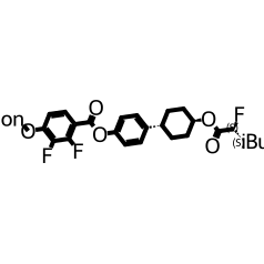 CCCCCCCCCOc1ccc(C(=O)Oc2ccc([C@H]3CC[C@H](OC(=O)[C@@H](F)[C@@H](C)CC)CC3)cc2)c(F)c1F